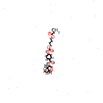 C=CC(=O)OCCCCOC(=O)Oc1ccc(C(=O)O[C@H]2CO[C@H]3CCO[C@H]32)cc1